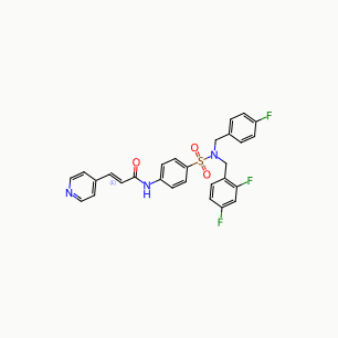 O=C(/C=C/c1ccncc1)Nc1ccc(S(=O)(=O)N(Cc2ccc(F)cc2)Cc2ccc(F)cc2F)cc1